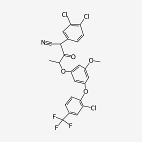 COc1cc(Oc2ccc(C(F)(F)F)cc2Cl)cc(OC(C)C(=O)C(C#N)c2ccc(Cl)c(Cl)c2)c1